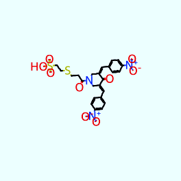 O=C1C(=Cc2ccc([N+](=O)[O-])cc2)CN(C(=O)CCSCCS(=O)(=O)O)CC1=Cc1ccc([N+](=O)[O-])cc1